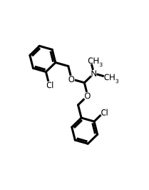 CN(C)C(OCc1ccccc1Cl)OCc1ccccc1Cl